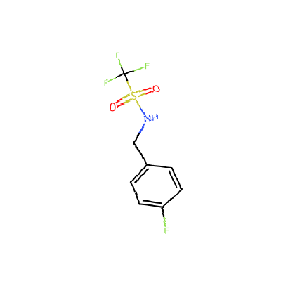 O=S(=O)(NCc1ccc(F)cc1)C(F)(F)F